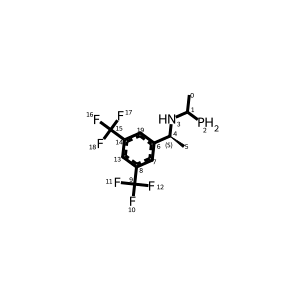 CC(P)N[C@@H](C)c1cc(C(F)(F)F)cc(C(F)(F)F)c1